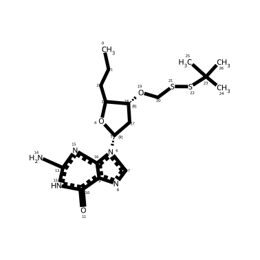 CCCC1O[C@@H](n2cnc3c(=O)[nH]c(N)nc32)C[C@H]1OCSSC(C)(C)C